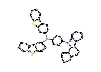 c1ccc2c(c1)ccc1c3ccccc3n(-c3ccc(N(c4ccc5c(c4)sc4ccccc45)c4ccc5sc6ccccc6c5c4)cc3)c21